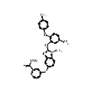 CNC(=O)c1cc(Oc2ccc3c(c2)nc(Nc2cc(C(F)(F)F)ccc2Oc2ccc(C)cc2)n3C)ccn1